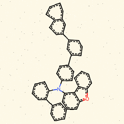 c1ccc(-c2ccccc2N(c2ccc(-c3cccc(-c4ccc5ccccc5c4)c3)cc2)c2cccc3oc4ccccc4c23)cc1